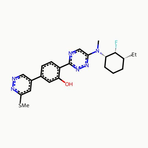 CC[C@@H]1CCC[C@H](N(C)c2cnc(-c3ccc(-c4cnnc(SC)c4)cc3O)nn2)[C@@H]1F